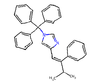 CC(C)/C(=C/c1cn(C(c2ccccc2)(c2ccccc2)c2ccccc2)cn1)c1ccccc1